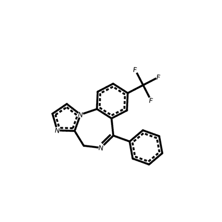 FC(F)(F)c1ccc2c(c1)C(c1ccccc1)=NCc1nccn1-2